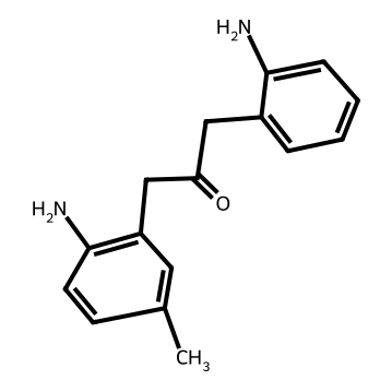 Cc1ccc(N)c(CC(=O)Cc2ccccc2N)c1